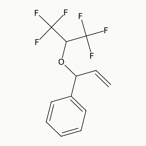 C=CC(OC(C(F)(F)F)C(F)(F)F)c1ccccc1